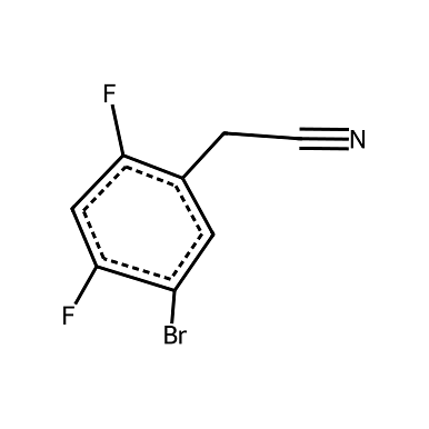 N#CCc1cc(Br)c(F)cc1F